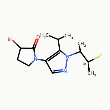 CC(C)c1c(N2CCC(Br)C2=O)cnn1C(C)[C@H](C)F